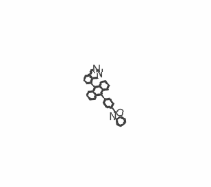 c1cc(-c2c3ccccc3c(-c3ccc(-c4nc5ccccc5o4)cc3)c3ccccc23)c2cnncc2c1